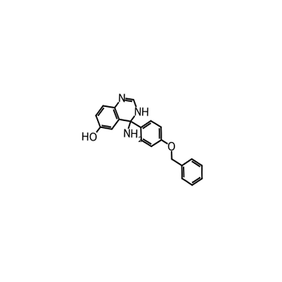 NC1(c2ccc(OCc3ccccc3)cc2)NC=Nc2ccc(O)cc21